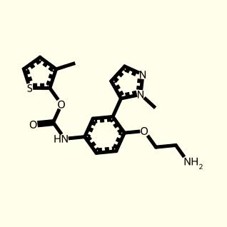 Cc1ccsc1OC(=O)Nc1ccc(OCCN)c(-c2ccnn2C)c1